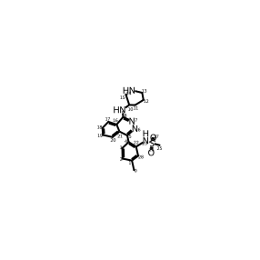 Cc1ccc(-c2nnc(NC3CCCNC3)c3ccccc23)c(NS(C)(=O)=O)c1